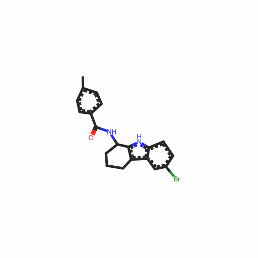 Cc1ccc(C(=O)NC2CCCc3c2[nH]c2ccc(Br)cc32)cc1